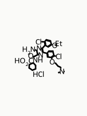 CCOc1ccc(Cl)c(-c2nc(N)c(C(=O)NC3(C(=O)O)CCCCC3)nc2-c2ccc(Cl)c(OCCCN(C)C)c2)c1.Cl